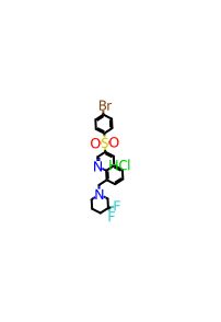 Cl.O=S(=O)(c1ccc(Br)cc1)c1cnc2c(CN3CCCC(F)(F)C3)cccc2c1